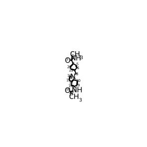 CNC(=O)c1ccc(Cn2ccc3cc(NC(C)=O)ccc32)cc1